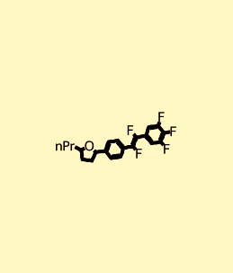 CCCC1CCC(c2ccc(/C(F)=C(\F)c3cc(F)c(F)c(F)c3)cc2)O1